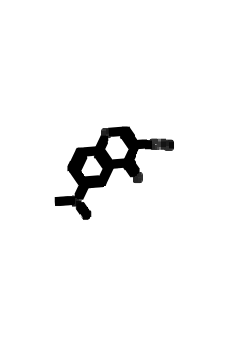 CN(C)c1ccc2occ(C=O)c(=O)c2c1